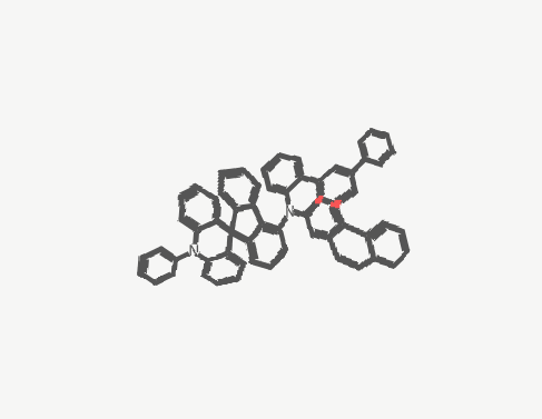 c1ccc(-c2cccc(-c3ccccc3N(c3ccc4c(ccc5ccccc54)c3)c3cccc4c3-c3ccccc3C43c4ccccc4N(c4ccccc4)c4ccccc43)c2)cc1